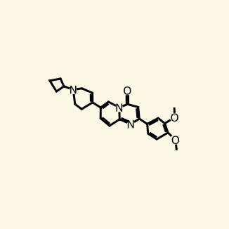 COc1ccc(-c2cc(=O)n3cc(C4=CCN(C5CCC5)CC4)ccc3n2)cc1OC